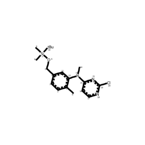 Cc1ccc(CO[Si](C)(C)C(C)(C)C)cc1N(C)c1ccnc(Cl)n1